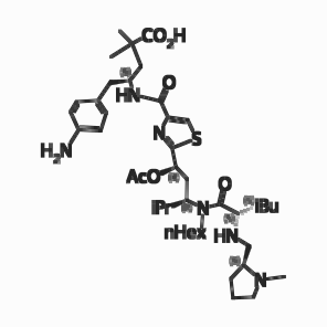 CCCCCCN(C(=O)[C@@H](NC[C@@H]1CCCN1C)[C@@H](C)CC)[C@H](C[C@@H](OC(C)=O)c1nc(C(=O)N[C@@H](Cc2ccc(N)cc2)CC(C)(C)C(=O)O)cs1)C(C)C